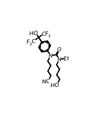 CCN(CCCCO)C(=O)N(CCCCC#N)c1ccc(C(O)(C(F)(F)F)C(F)(F)F)cc1